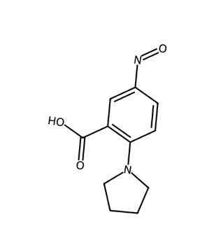 O=Nc1ccc(N2CCCC2)c(C(=O)O)c1